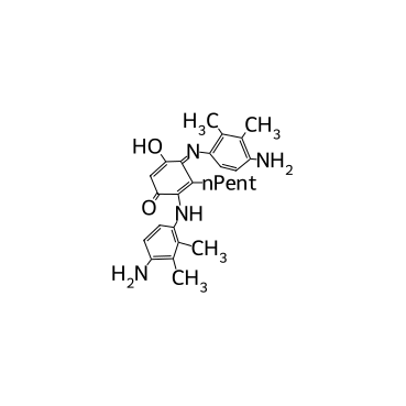 CCCCCC1=C(Nc2ccc(N)c(C)c2C)C(=O)C=C(O)/C1=N/c1ccc(N)c(C)c1C